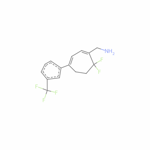 NCC1=CC=C(c2cccc(C(F)(F)F)c2)CCC1(F)F